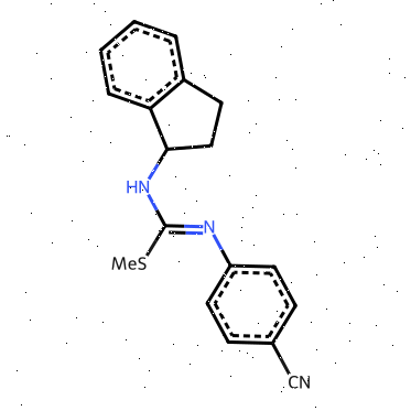 CSC(=Nc1ccc(C#N)cc1)NC1CCc2ccccc21